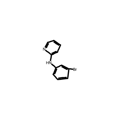 Brc1cccc(Nc2ccccn2)c1